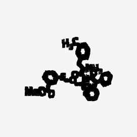 COC(=O)c1cccc(SCOCC(C#N)N(C(=O)C(c2ccccc2)c2ccccc2)C(=O)[C@@H](N)Cc2cccc(C)c2)c1